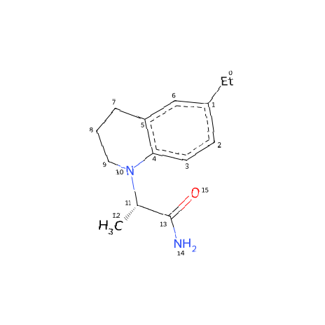 CCc1ccc2c(c1)CCCN2[C@@H](C)C(N)=O